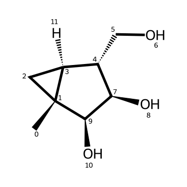 C[C@@]12C[C@H]1[C@H](CO)[C@@H](O)[C@H]2O